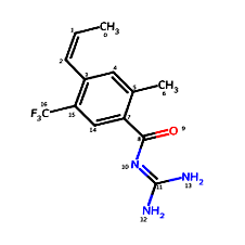 C/C=C\c1cc(C)c(C(=O)N=C(N)N)cc1C(F)(F)F